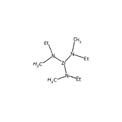 CC[N](C)[Zr]([N](C)CC)[N](C)CC